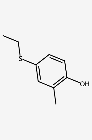 CCSc1ccc(O)c(C)c1